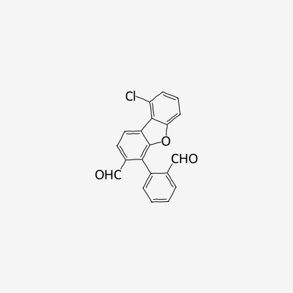 O=Cc1ccccc1-c1c(C=O)ccc2c1oc1cccc(Cl)c12